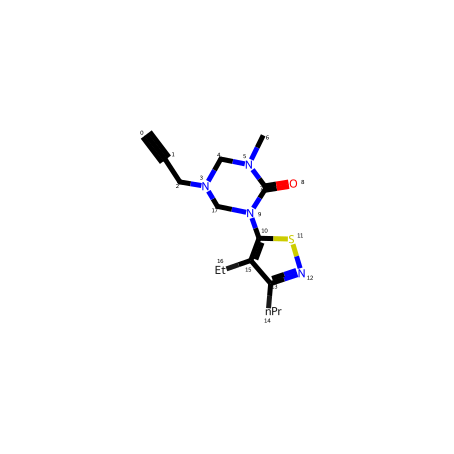 C#CCN1CN(C)C(=O)N(c2snc(CCC)c2CC)C1